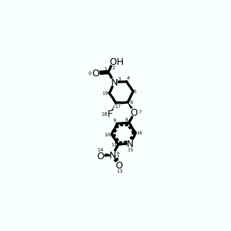 O=C(O)N1CC[C@@H](Oc2ccc([N+](=O)[O-])nc2)[C@H](F)C1